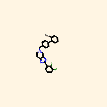 CC(=O)c1ccccc1-c1ccc(Cn2ccc3nc(-c4cccc(F)c4F)nc-3c2)cc1